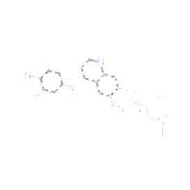 CCN(CC)C[C@@H](O)COc1cc2nccc(Oc3ccc(N)c(F)c3)c2cc1C#N